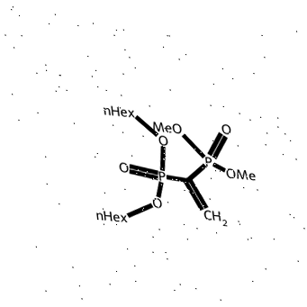 C=C(P(=O)(OC)OC)P(=O)(OCCCCCC)OCCCCCC